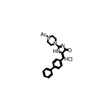 CC(=O)N1CCN(C2=NC(=O)C(=Cc3ccc(-c4ccccc4)cc3)N2)CC1.Cl